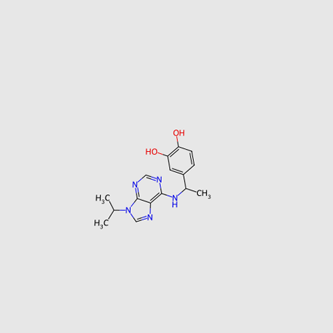 CC(Nc1ncnc2c1ncn2C(C)C)c1ccc(O)c(O)c1